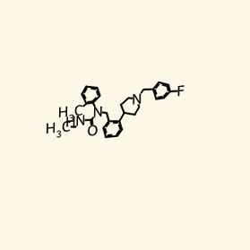 CCNC(=O)N(Cc1ccccc1C1CCN(Cc2ccc(F)cc2)CC1)c1ccccc1C